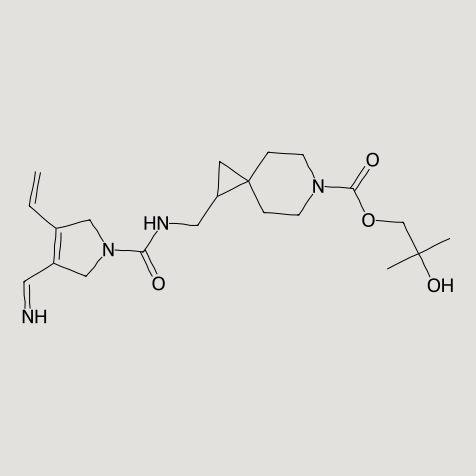 C=CC1=C(C=N)CN(C(=O)NCC2CC23CCN(C(=O)OCC(C)(C)O)CC3)C1